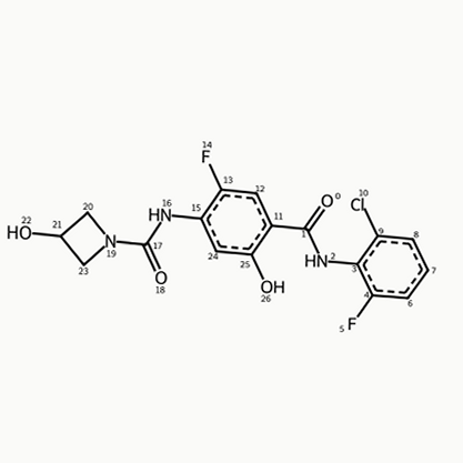 O=C(Nc1c(F)cccc1Cl)c1cc(F)c(NC(=O)N2CC(O)C2)cc1O